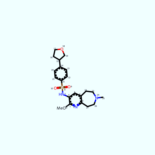 COc1nc2c(cc1NS(=O)(=O)c1ccc(C3CCOC3)cc1)CCN(C)CC2